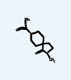 CN1CCC2(CCN(C(=O)C(C)(C)C)CC2)C1=O